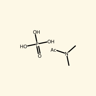 CC(=O)N(C)C.O=P(O)(O)O